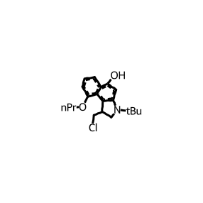 CCCOc1cccc2c(O)cc3c(c12)C(CCl)CN3C(C)(C)C